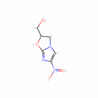 O=[N+]([O-])c1cn2c(n1)OC(CO)C2